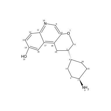 N[C@H]1CC[C@H](C2COc3cnc4ccc(O)cc4c3C2)CC1